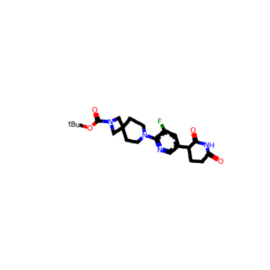 CC(C)(C)OC(=O)N1CC2(CCN(c3ncc(C4CCC(=O)NC4=O)cc3F)CC2)C1